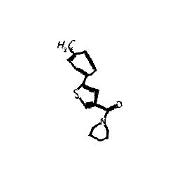 Cc1ccc(-c2cc(C(=O)N3CCCCC3)cs2)cc1